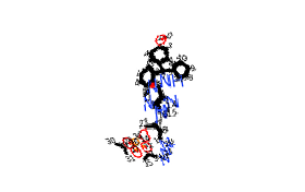 COc1ccc(C(Nc2ncnc3c2ncn3C(CCN=[N+]=[N-])COCP(=O)(OC(C)C)OC(C)C)(c2ccccc2)c2ccccc2)cc1